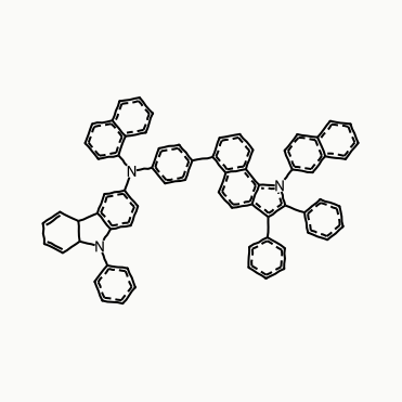 C1=CC2c3cc(N(c4ccc(-c5cccc6c5ccc5c(-c7ccccc7)c(-c7ccccc7)n(-c7ccc8ccccc8c7)c56)cc4)c4cccc5ccccc45)ccc3N(c3ccccc3)C2C=C1